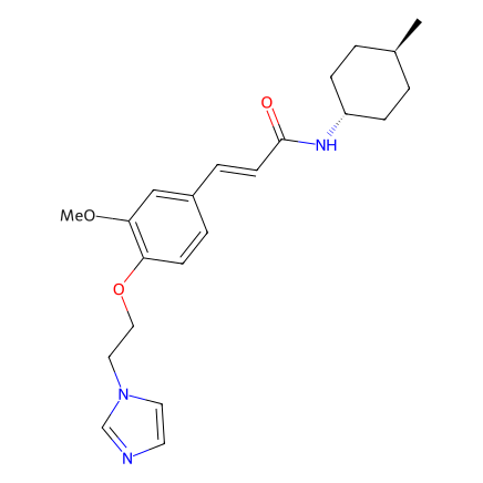 COc1cc(/C=C/C(=O)N[C@H]2CC[C@H](C)CC2)ccc1OCCn1ccnc1